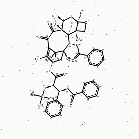 CC(=O)O[C@@]12CO[C@@H]1C[C@H](C)[C@@]1(C)C(=O)C(=O)C3=C(C)[C@@H](OC(=O)[C@H](O[Si](C)(C)C(C)(C)C)[C@@H](NC(=O)c4ccccc4)c4ccccc4)C[C@@](O)([C@@H](OC(=O)c4ccccc4)[C@H]21)C3(C)C